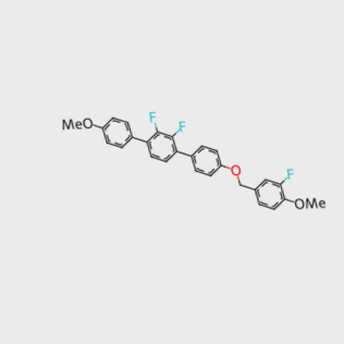 COc1ccc(-c2ccc(-c3ccc(OCc4ccc(OC)c(F)c4)cc3)c(F)c2F)cc1